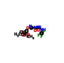 COC[C@]1(C(=O)OC(C)(C)C)CC[C@H](Oc2ccc(NC(=O)c3nnc(Nc4cc(F)c(F)cc4F)o3)cn2)CC1